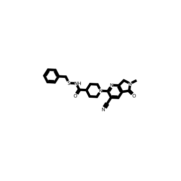 CN1Cc2nc(N3CCC(C(=O)NSCc4ccccc4)CC3)c(C#N)cc2C1=O